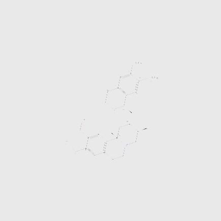 CC[C@H]1CN2CCc3cc(CO)c(CO)cc3[C@@H]2C[C@@H]1C[C@H]1NCCc2cc(OC)c(OC)cc21